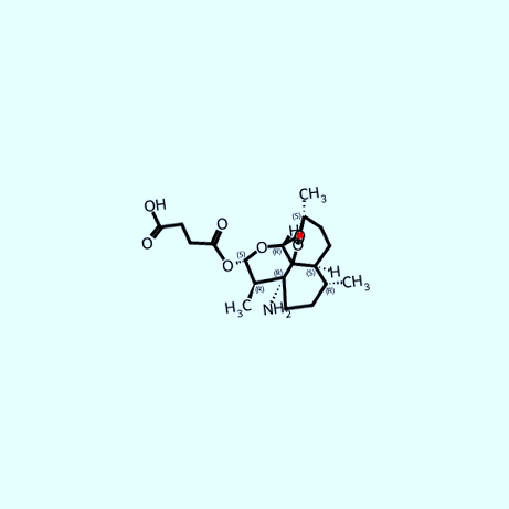 C[C@@H]1CC[C@@]2(N)[C@@H](C)[C@H](OC(=O)CCC(=O)O)O[C@@H]3O[C@]4(C)CC[C@@H]1C32OO4